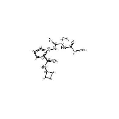 C[C@H](NC(=O)OC(C)(C)C)C(=O)Nn1cccc1C(=O)NC1CCC1